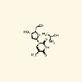 CP(N)O.Cc1cn([C@H]2C[C@H](O)[C@@H](CO)O2)c(=O)[nH]c1=O